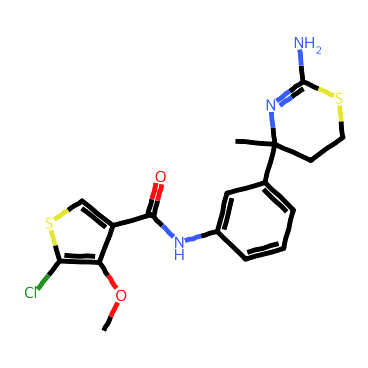 COc1c(C(=O)Nc2cccc(C3(C)CCSC(N)=N3)c2)csc1Cl